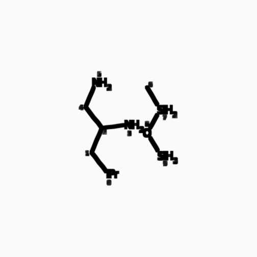 CC(C)CC(N)CN.C[SiH2]O[SiH3]